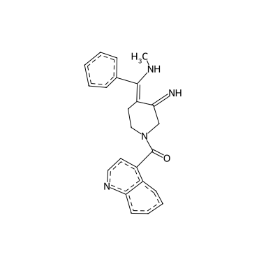 CN/C(=C1/CCN(C(=O)c2ccnc3ccccc23)CC1=N)c1ccccc1